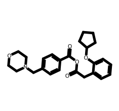 O=C(Cc1ccccc1OC1CCCC1)OC(=O)c1ccc(CN2CCOCC2)cc1